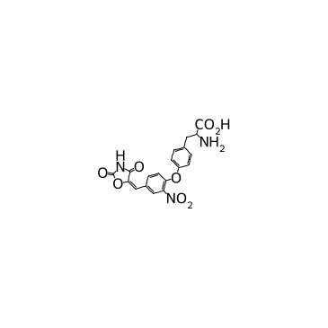 NC(Cc1ccc(Oc2ccc(C=C3OC(=O)NC3=O)cc2[N+](=O)[O-])cc1)C(=O)O